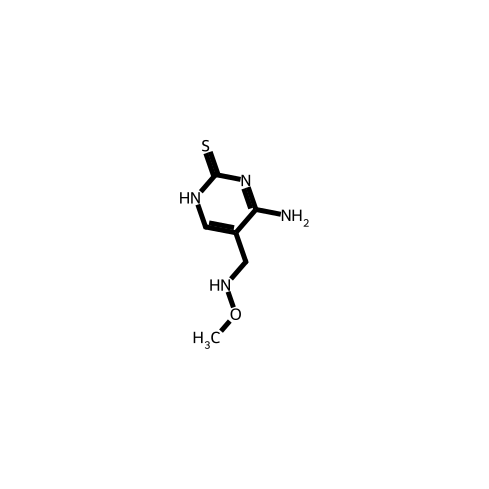 CONCc1c[nH]c(=S)nc1N